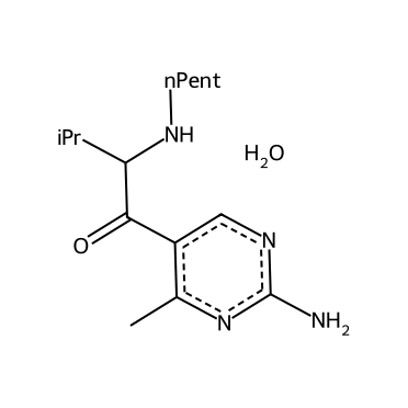 CCCCCNC(C(=O)c1cnc(N)nc1C)C(C)C.O